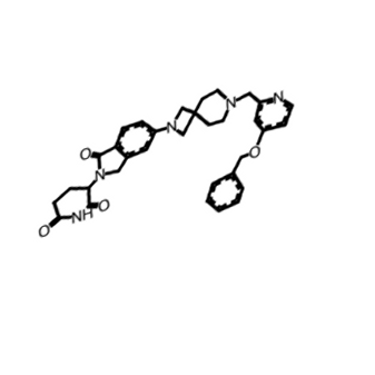 O=C1CCC(N2Cc3cc(N4CC5(CCN(Cc6cc(OCc7ccccc7)ccn6)CC5)C4)ccc3C2=O)C(=O)N1